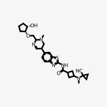 CN1CC(c2ccc3nc(NC(=O)C4CC(N(C)C5(C#N)CC5)C4)sc3c2)C=NC1CO[C@H]1CCC[C@@H]1O